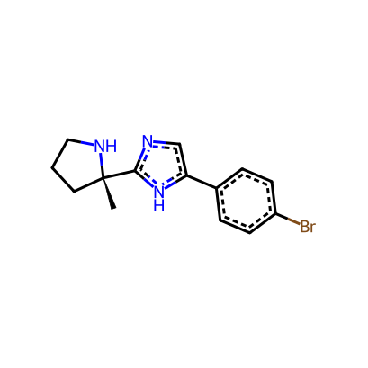 C[C@@]1(c2ncc(-c3ccc(Br)cc3)[nH]2)CCCN1